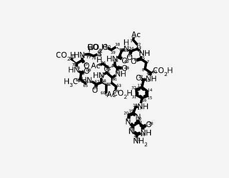 CC(=O)CC[C@H](NC(=O)CC[C@H](NC(=O)c1ccc(NCc2cnc3nc(N)[nH]c(=O)c3n2)cc1)C(=O)O)C(=O)N[C@@H](CCC(=O)O)C(=O)N[C@@H](CCC(C)=O)C(=O)N[C@@H](CCC(=O)O)C(=O)N[C@@H](CCC(C)=O)C(=O)NC[C@H](C)C(=O)N[C@@H](CC(=O)O)C(=O)N[C@@H](CS)C(=O)O